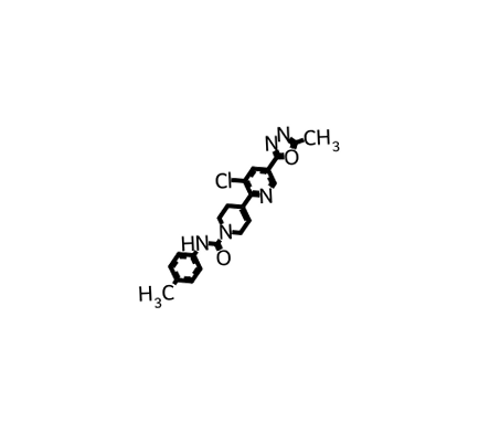 Cc1ccc(NC(=O)N2CC=C(c3ncc(-c4nnc(C)o4)cc3Cl)CC2)cc1